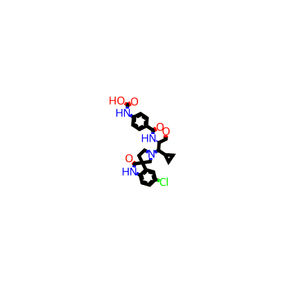 O=C[C@@H](NC(=O)c1ccc(NC(=O)O)cc1)C(C1CC1)N1CCC2(C1)C(=O)Nc1ccc(Cl)cc12